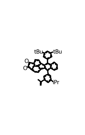 C=C(C)c1cc(-c2c3ccccc3c(-c3cc(C(C)(C)C)cc(C(C)(C)C)c3)c3c4ccc5c(=O)c(=O)c6ccc(c23)c4c65)cc(C(C)C)c1